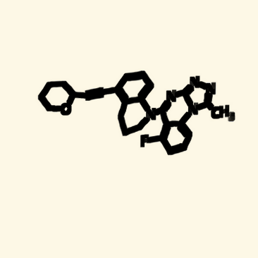 Cc1nnc2nc(N3CCCc4c(C#CC5CCCCO5)cccc43)c3c(F)cccc3n12